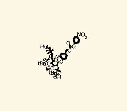 CC(C)(CCC1O[C@@H](Oc2ccc(COC(=O)Oc3ccc([N+](=O)[O-])cc3)cc2[N+](=O)[O-])[C@@H](CC(C)(C)[Si](C)(C)O)C(O[Si](C)(C)C(C)(C)C)[C@H]1O[Si](C)(C)C(C)(C)C)[Si](C)(C)O